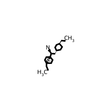 CCCC12CCC(C(C#N)C[C@H]3CC[C@H](CCC)CC3)(CC1)CC2